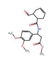 COC(=O)CC(NC(=O)C1CC=CCC1C=O)c1ccc(OC)c(OC)c1